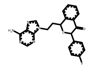 Nc1ncnc2c1ncn2CCC1OC(c2ccc(F)cc2)C(=O)c2ccccc21